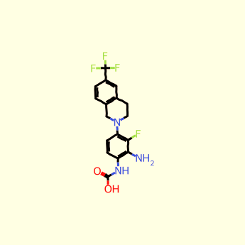 Nc1c(NC(=O)O)ccc(N2CCc3cc(C(F)(F)F)ccc3C2)c1F